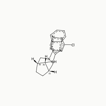 Clc1cc(N2C[C@H]3CC[C@@H](C2)[C@H]3Nc2nc3ccccn3n2)cnn1